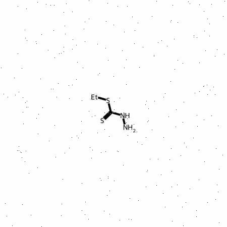 CCSC(=S)NN